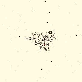 CCN(CC1CC1)[C@@H]1Cc2ccc(O)c3c2C2C(O3)C(=O)CCC21OC(=O)N1CCOCC1